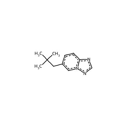 CC(C)(C)Cc1ccc2ncnn2c1